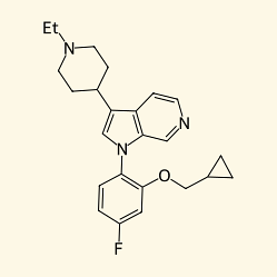 CCN1CCC(c2cn(-c3ccc(F)cc3OCC3CC3)c3cnccc23)CC1